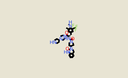 CNc1c(C)cc(C[C@@H](NC(=O)N2CCC(N3CCc4ccccc4NC3=O)CC2)C(=O)N2CCN(C3CCNCC3)CC2)cc1C(F)(F)F